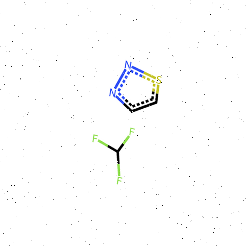 FC(F)F.c1csnn1